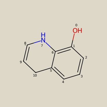 Oc1cccc2c1N[C]=CC2